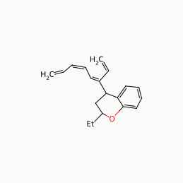 C=C/C=C\C=C(/C=C)C1CC(CC)Oc2ccccc21